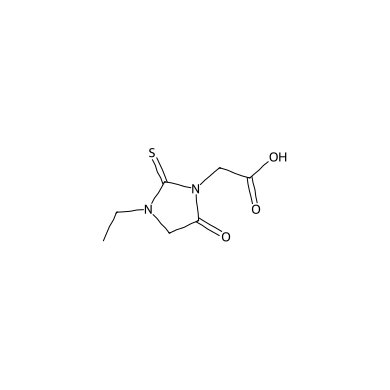 CCN1CC(=O)N(CC(=O)O)C1=S